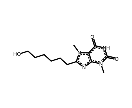 Cn1c(CCCCCCO)nc2c1c(=O)[nH]c(=O)n2C